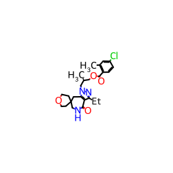 CCc1nn(C[C@@H](C)COC(=O)c2ccc(Cl)cc2C)c2c1C(=O)NCC1(CCOCC1)C2